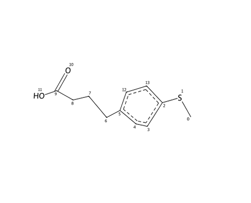 CSc1ccc(CCCC(=O)O)cc1